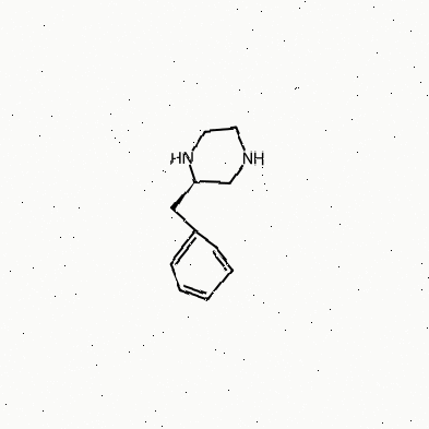 c1ccc(C[C@@H]2CNCCN2)cc1